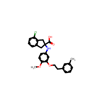 COc1ccc(NC2(C(=O)O)Cc3cccc(Cl)c3C2)cc1OCCc1cccc(C)c1